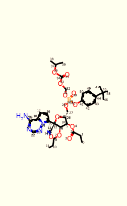 CCC(=O)O[C@H]1[C@@H](OC(=O)CC)[C@](C#N)(c2ccc3c(N)ncnn23)O[C@@H]1CO[P@@](=O)(OCOC(=O)OC(C)C)Oc1ccc(C(C)(C)C)cc1